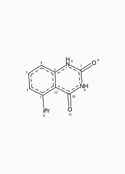 CC(C)c1cccc2[nH]c(=O)[nH]c(=O)c12